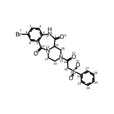 O=C1Nc2ccc(Br)cc2C(=O)N2CCN(C(=O)CS(=O)(=O)c3ccccc3)CC12